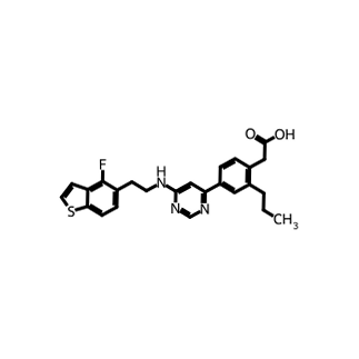 CCCc1cc(-c2cc(NCCc3ccc4sccc4c3F)ncn2)ccc1CC(=O)O